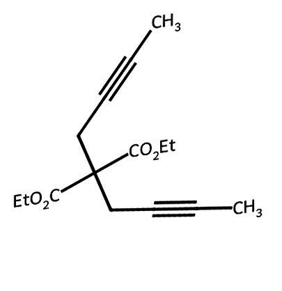 CC#CCC(CC#CC)(C(=O)OCC)C(=O)OCC